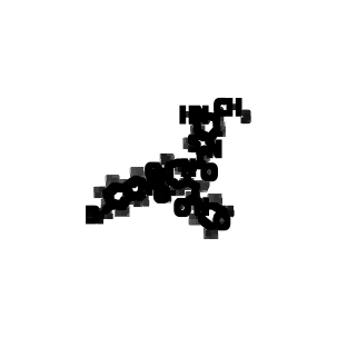 CC1Cc2nc(C(=O)N3CCN(S(=O)(=O)n4cc5ccc(Br)cc5c4)CC3CC(=O)N3CCOCC3)sc2CN1